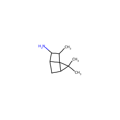 CC1C(N)C2CC3C(C)(C)C123